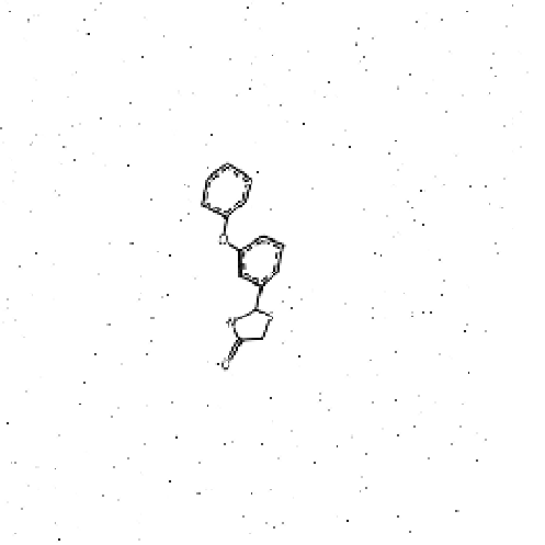 O=C1CSC(c2cccc(Oc3ccccc3)c2)[N]1